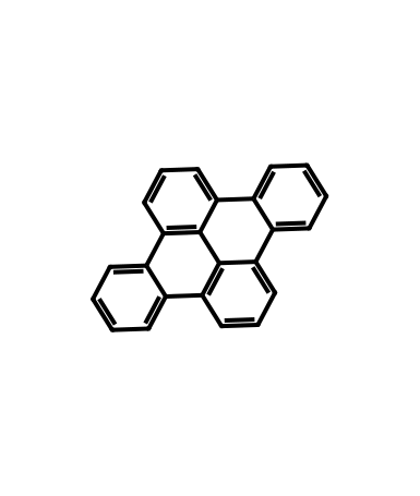 c1ccc2c(c1)c1cccc3c4ccccc4c4cccc2c4c13